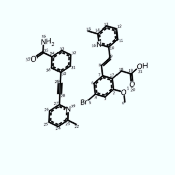 COc1cc(Br)cc(C=Cc2cccc(C)n2)c1CC(=O)O.Cc1cccc(C#Cc2cccc(C(N)=O)c2)n1